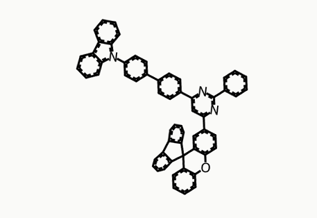 c1ccc(-c2nc(-c3ccc(-c4ccc(-n5c6ccccc6c6ccccc65)cc4)cc3)cc(-c3ccc4c(c3)C3(c5ccccc5O4)c4ccccc4-c4ccccc43)n2)cc1